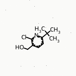 CC(C)(C)c1ccc(CO)c(Cl)n1